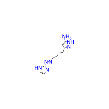 Nc1cc(CCCC/N=N/c2ncc[nH]2)n[nH]1